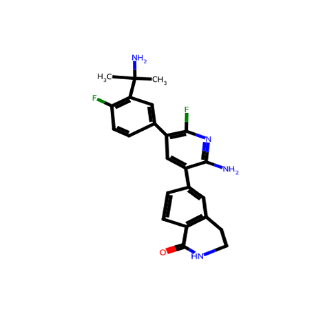 CC(C)(N)c1cc(-c2cc(-c3ccc4c(c3)CCNC4=O)c(N)nc2F)ccc1F